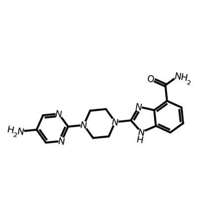 NC(=O)c1cccc2[nH]c(N3CCN(c4ncc(N)cn4)CC3)nc12